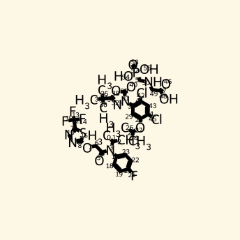 CC(C)N(C(=O)COc1nnc(C(F)(F)F)s1)c1ccc(F)cc1.CC(C)Oc1cc(-n2nc(C(C)(C)C)oc2=O)c(Cl)cc1Cl.O=C(O)CNCP(=O)(O)O